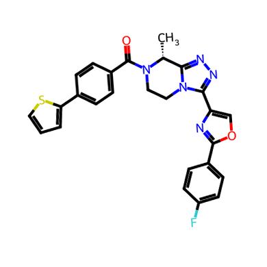 C[C@@H]1c2nnc(-c3coc(-c4ccc(F)cc4)n3)n2CCN1C(=O)c1ccc(-c2cccs2)cc1